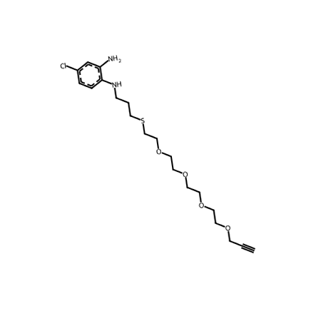 C#CCOCCOCCOCCOCCSCCCNc1ccc(Cl)cc1N